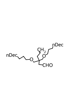 C=CCC(CC=O)(COCCCCCCCCCCCCC)COCCCCCCCCCCCCC